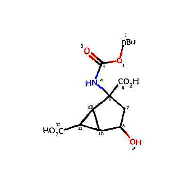 CCCCOC(=O)NC1(C(=O)O)CC(O)C2C(C(=O)O)C21